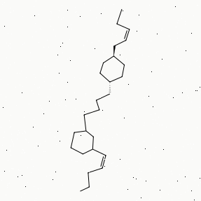 CC/C=C\C[C@H]1CC[C@H](CCCCC2CCCC(/C=C\CCC)C2)CC1